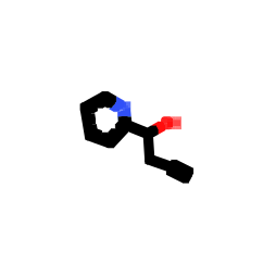 C#CCC(O)c1ccccn1